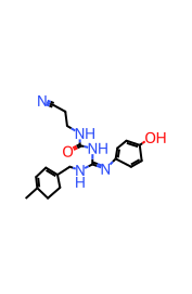 CC1=CC=C(CN/C(=N/c2ccc(O)cc2)NC(=O)NCCC#N)CC1